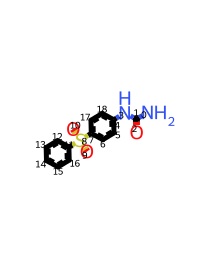 NC(=O)Nc1ccc(S(=O)(=O)c2ccccc2)cc1